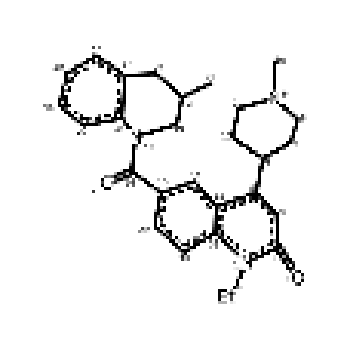 CCn1c(=O)cc(C2CCN(C)CC2)c2cc(C(=O)N3CC(C)Cc4ccccc43)ccc21